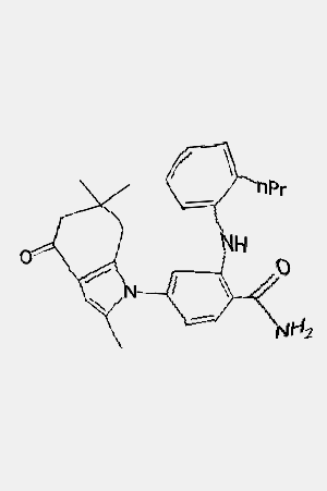 CCCc1ccccc1Nc1cc(-n2c(C)cc3c2CC(C)(C)CC3=O)ccc1C(N)=O